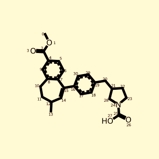 COC(=O)c1ccc2c(c1)CCC(C)C=C2c1ccc(CC2CCN(C(=O)O)C2)cc1